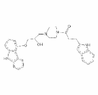 O=C(CCc1cc2ccccc2[nH]1)N1CCN(CC(O)COc2cccc3[nH]c4ccccc4c23)CC1